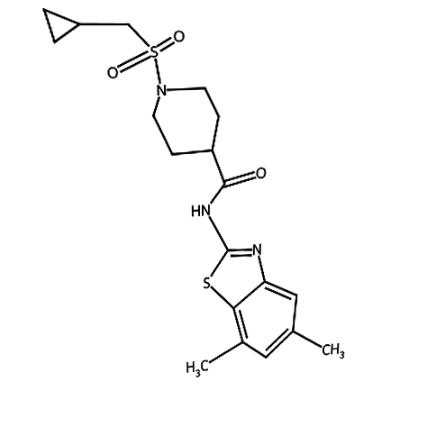 Cc1cc(C)c2sc(NC(=O)C3CCN(S(=O)(=O)CC4CC4)CC3)nc2c1